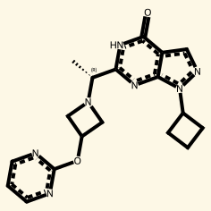 C[C@H](c1nc2c(cnn2C2CCC2)c(=O)[nH]1)N1CC(Oc2ncccn2)C1